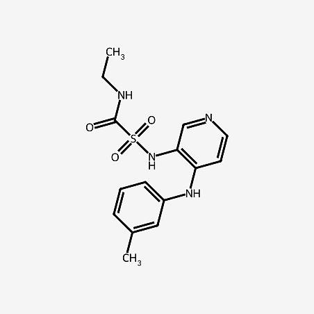 CCNC(=O)S(=O)(=O)Nc1cnccc1Nc1cccc(C)c1